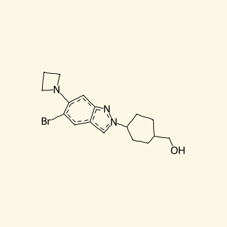 OCC1CCC(n2cc3cc(Br)c(N4CCC4)cc3n2)CC1